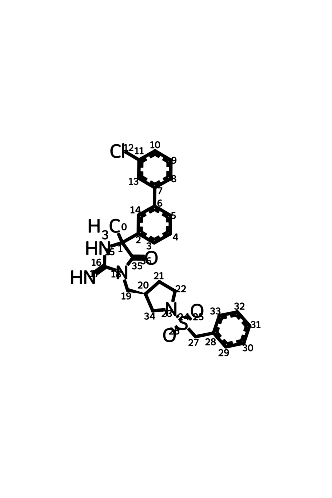 CC1(c2cccc(-c3cccc(Cl)c3)c2)NC(=N)N(C[C@H]2CCN(S(=O)(=O)Cc3ccccc3)C2)C1=O